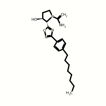 C=C(N)N1CC[C@H](O)[C@H]1c1nc(-c2ccc(CCCCCCCC)cc2)no1